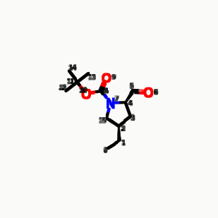 CC[C@@H]1C[C@H](C=O)N(C(=O)OC(C)(C)C)C1